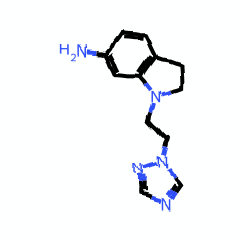 Nc1ccc2c(c1)N(CCn1cncn1)CC2